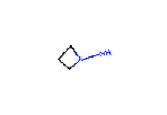 [NH]N1CCC1